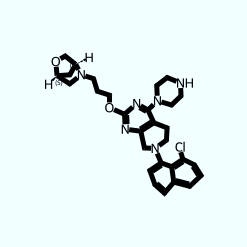 Clc1cccc2cccc(N3CCc4c(nc(OCCCN5C[C@@H]6C[C@H]5CO6)nc4N4CCNCC4)C3)c12